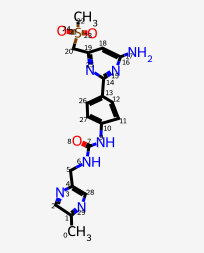 Cc1cnc(CNC(=O)Nc2ccc(-c3nc(N)cc(CS(C)(=O)=O)n3)cc2)cn1